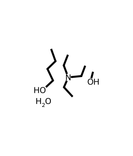 CCCCO.CCN(CC)CC.CO.O